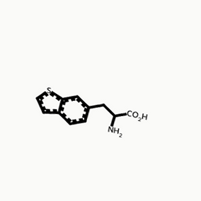 NC(Cc1ccc2ccsc2c1)C(=O)O